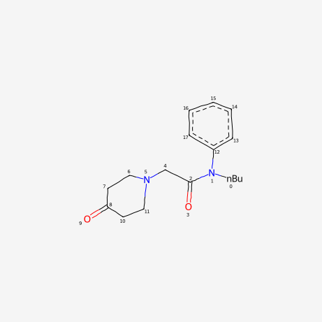 CCCCN(C(=O)CN1CCC(=O)CC1)c1ccccc1